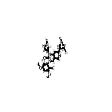 COc1cc(OC)c(F)c(N2Cc3cnc(-c4cn(C)nc4C)cc3N(c3cnn(C)c3)C2=O)c1F